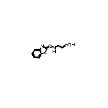 CCCCCCCCCCNSc1nc2ccccc2s1